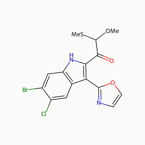 COC(SC)C(=O)c1[nH]c2cc(Br)c(Cl)cc2c1-c1ncco1